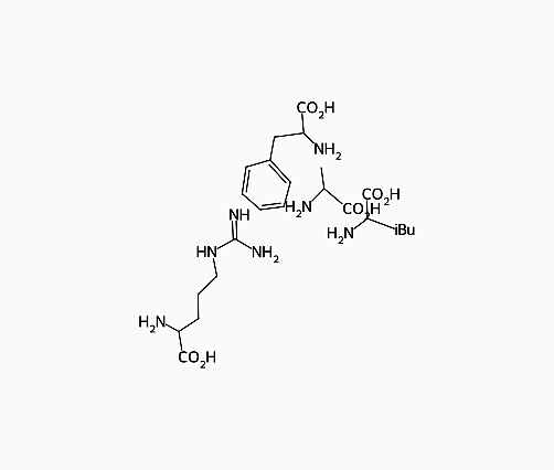 CC(N)C(=O)O.CCC(C)C(N)C(=O)O.N=C(N)NCCCC(N)C(=O)O.NC(Cc1ccccc1)C(=O)O